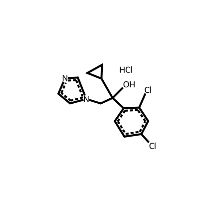 Cl.OC(Cn1ccnc1)(c1ccc(Cl)cc1Cl)C1CC1